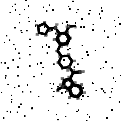 COc1ccc(CC2CCN(C(=O)c3cn(C)c4ccccc34)CC2)cc1OC1CCCC1